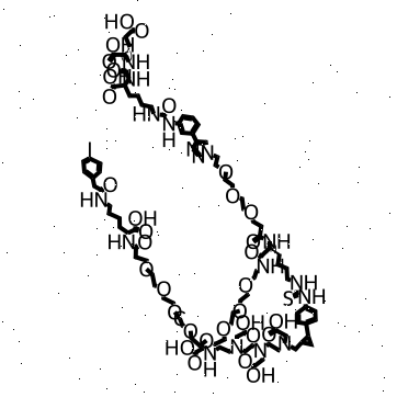 O=C(O)CC[C@H](NC(=O)NC(CCCCNC(=O)Nc1cccc(-c2cn(CCOCCOCCOCCC(=O)N[C@@H](CCCCNC(=S)Nc3ccc(C4CC4CN(CCN(CCN(CCNCC(=O)O)CC(=O)O)CC(=O)O)CC(=O)O)cc3)C(=O)NCCOCCOCCOCCOCCOCCOCCOCCOCCC(=O)NC(CCCCNC(=O)Cc3ccc(I)cc3)C(=O)O)nn2)c1)C(=O)O)C(=O)O